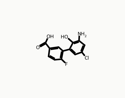 Nc1cc(Cl)cc(-c2cc(C(=O)O)ccc2F)c1O